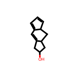 OC1CC2=CC3=CC=CC3CC2C1